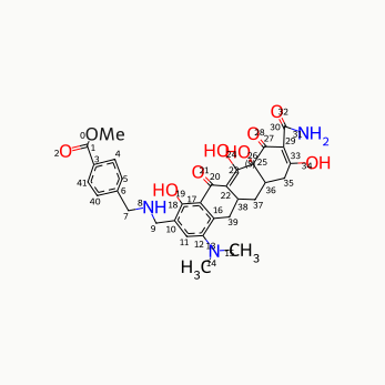 COC(=O)c1ccc(CNCc2cc(N(C)C)c3c(c2O)C(=O)C2=C(O)[C@]4(O)C(=O)C(C(N)=O)=C(O)CC4CC2C3)cc1